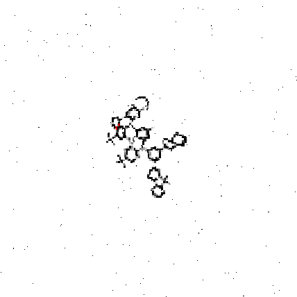 Cc1cc2c3c(c1)N(c1cc4c(cc1-c1ccccc1)OCCCO4)c1ccc(C(C)(C)C)cc1B3c1cc(C(C)(C)C)ccc1N2c1cc(-c2ccc3c(c2)C(C)(C)c2ccccc2-3)cc(-c2cc3ccccc3o2)c1